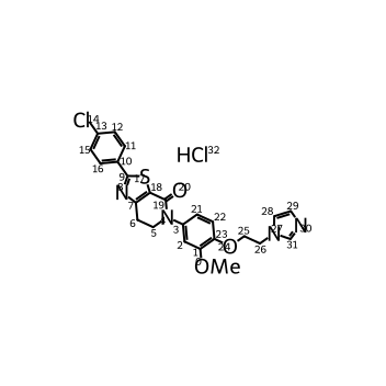 COc1cc(N2CCc3nc(-c4ccc(Cl)cc4)sc3C2=O)ccc1OCCn1ccnc1.Cl